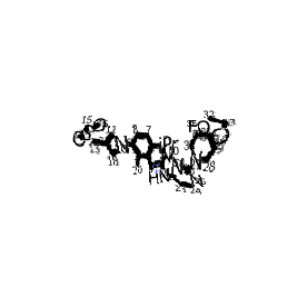 C=N/C(=C\c1c(C(C)C)ccc(N2CC(CS(C)(=O)=O)C2)c1C)Nc1ccnc(N2CCC3(OCCO3)[C@H](F)C2)n1